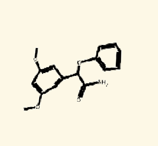 COc1cc(OC)cc(C(Oc2c[c]ccc2)C(N)=O)c1